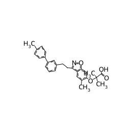 Cc1ccc(-c2cccc(CCc3noc4cc(OC(C)(C)C(=O)O)c(C)cc34)c2)cc1